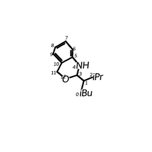 CCC(C)C(C(C)C)C1Nc2ccccc2CO1